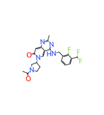 CC(=O)N1CCC(n2cc3c(NCc4cccc(C(F)F)c4F)nc(C)nc3cc2=O)C1